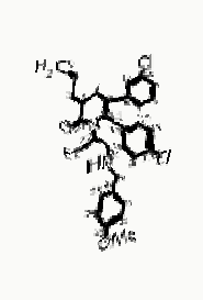 C=CCC1CC(c2cccc(Cl)c2)C(c2ccc(Cl)cc2)N(C(CC)CNCc2ccc(OC)cc2)C1=O